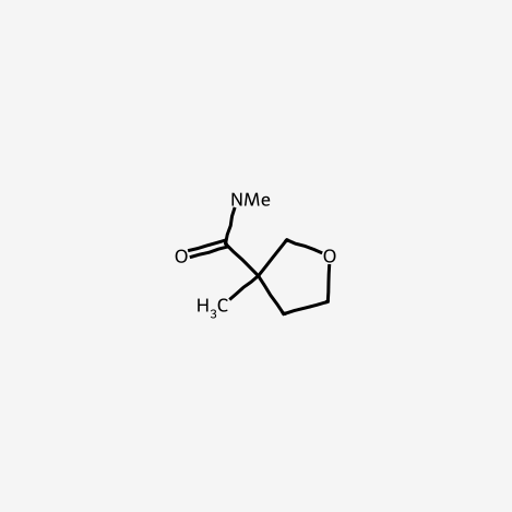 CNC(=O)C1(C)CCOC1